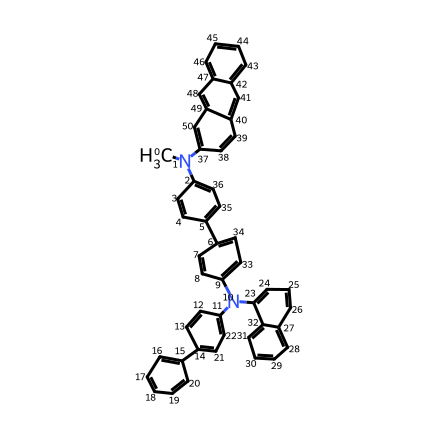 CN(c1ccc(-c2ccc(N(c3ccc(-c4ccccc4)cc3)c3cccc4ccccc34)cc2)cc1)c1ccc2cc3ccccc3cc2c1